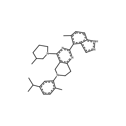 Cc1ccc(C(C)C)cc1N1CCc2nc(-c3c(C)ccc4[nH]ncc34)nc(N3CCCC(C)C3)c2C1